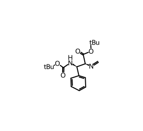 C=N[C@H](C(=O)OC(C)(C)C)[C@H](NC(=O)OC(C)(C)C)c1ccccc1